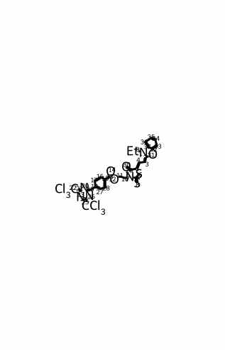 CCN1C(=CC=C2SC(=S)N(CCOC(=O)c3ccc(-c4nc(C(Cl)(Cl)Cl)nc(C(Cl)(Cl)Cl)n4)cc3)C2=O)Oc2ccccc21